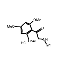 CCCNCC(=O)c1c(OC)cc(OC)cc1OC.Cl